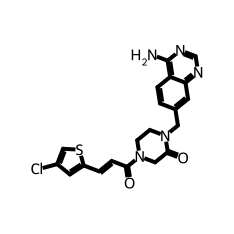 Nc1ncnc2cc(CN3CCN(C(=O)C=Cc4cc(Cl)cs4)CC3=O)ccc12